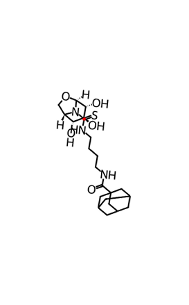 O=C(NCCCCNC(=S)N1[C@H]2CO[C@H]1[C@H](O)[C@@H](O)[C@@H]2O)C12CC3CC(CC(C3)C1)C2